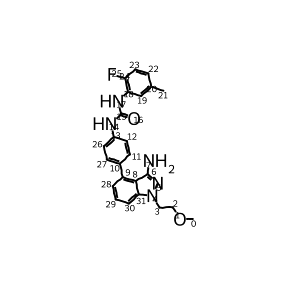 COCCn1nc(N)c2c(-c3ccc(NC(=O)Nc4cc(C)ccc4F)cc3)cccc21